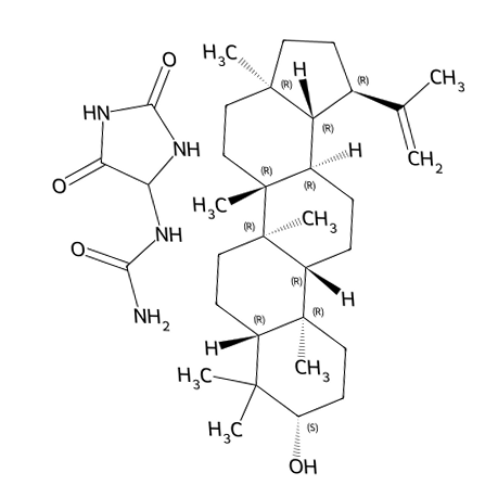 C=C(C)[C@@H]1CC[C@]2(C)CC[C@]3(C)[C@H](CC[C@@H]4[C@@]5(C)CC[C@H](O)C(C)(C)[C@@H]5CC[C@]43C)[C@@H]12.NC(=O)NC1NC(=O)NC1=O